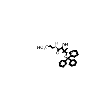 CC(C)(COC(c1ccccc1)(c1ccccc1)c1ccccc1)C(O)C(=O)NCCC(=O)O